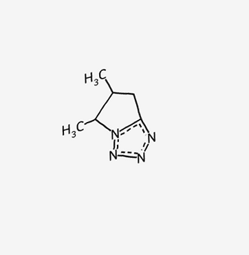 CC1Cc2nnnn2C1C